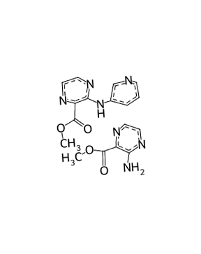 COC(=O)c1nccnc1N.COC(=O)c1nccnc1Nc1cccnc1